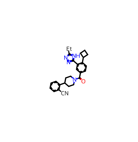 CCc1nnc(-c2cc(C(=O)N3CCC(c4ccccc4C#N)CC3)ccc2C2CCC2)[nH]1